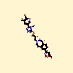 Cc1cc(-c2ccc3c(c2)CCN(CCCSc2nnc(-c4cnc(C)c(C)c4)n2C)CC3)no1